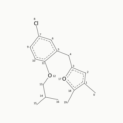 Cc1cc(Cc2cc(Cl)ccc2OCC(C)C)oc1C